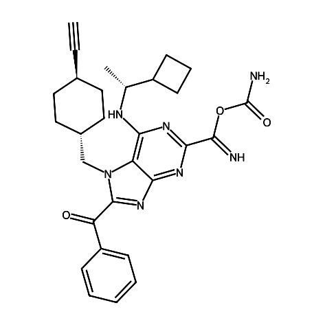 C#C[C@H]1CC[C@H](Cn2c(C(=O)c3ccccc3)nc3nc(C(=N)OC(N)=O)nc(N[C@H](C)C4CCC4)c32)CC1